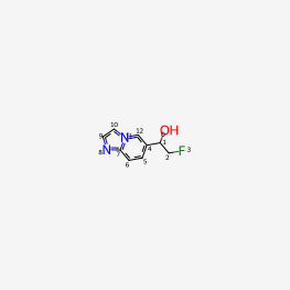 OC(CF)c1ccc2nccn2c1